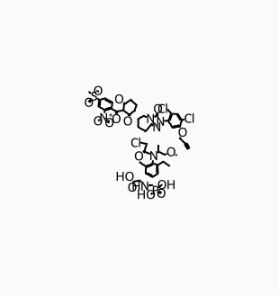 C#CCOc1cc(-n2nc3n(c2=O)CCCC3)c(Cl)cc1Cl.CCc1cccc(C)c1N(C(=O)CCl)C(C)COC.CS(=O)(=O)c1ccc(C(=O)C2C(=O)CCCC2=O)c([N+](=O)[O-])c1.O=C(O)CNCP(=O)(O)O